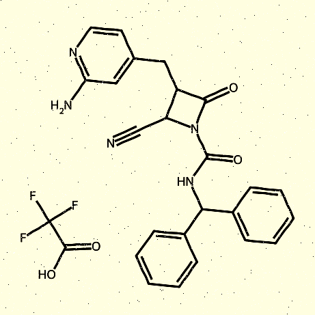 N#CC1C(Cc2ccnc(N)c2)C(=O)N1C(=O)NC(c1ccccc1)c1ccccc1.O=C(O)C(F)(F)F